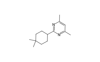 Cc1cc(C)nc(C2CCC(C)(C)CC2)n1